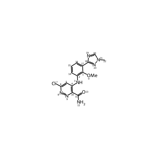 COc1c(Nc2cc(Cl)nnc2C(N)=O)cccc1-c1ncn(C)n1